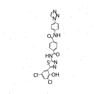 O=C(Nc1ccc(-n2ccnn2)cc1)c1ccc(C(=O)Nc2nnc(-c3cc(Cl)cc(Cl)c3O)s2)cc1